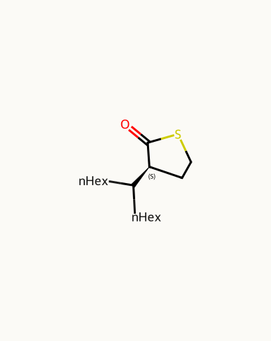 CCCCCCC(CCCCCC)[C@@H]1CCSC1=O